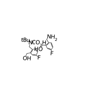 CC(C)(C)N(Cc1ccc(F)cc1CO)C(=O)O.NCc1ccc(F)cc1CO